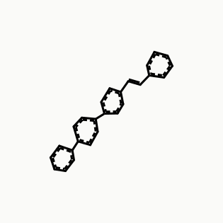 C(=C\c1ccc(-c2ccc(-c3ccccc3)cc2)cc1)/c1ccccc1